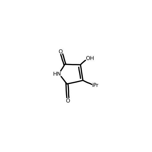 CC(C)C1=C(O)C(=O)NC1=O